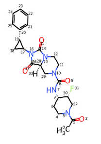 CC(=O)N1CC[C@H](NC(=O)N2CCN3C(=O)N([C@H]4C[C@@H]4c4ccccc4)C(=O)[C@@H]3C2)[C@H](F)C1